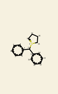 C1=S(C(c2ccccc2)c2ccccc2)CCC1